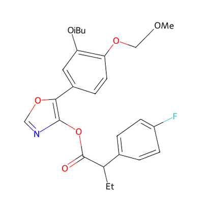 CCC(C(=O)Oc1ncoc1-c1ccc(OCOC)c(OCC(C)C)c1)c1ccc(F)cc1